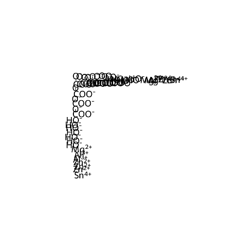 O=C([O-])[O-].O=C([O-])[O-].O=C([O-])[O-].O=C([O-])[O-].O=C([O-])[O-].O=C([O-])[O-].O=C([O-])[O-].O=C([O-])[O-].O=C([O-])[O-].O=C([O-])[O-].O=C([O-])[O-].O=C([O-])[O-].O=C([O-])[O-].[Al+3].[Al+3].[Al+3].[Mg+2].[Mg+2].[Mg+2].[OH-].[OH-].[OH-].[OH-].[OH-].[OH-].[OH-].[OH-].[OH-].[OH-].[OH-].[OH-].[OH-].[Sn+4].[Sn+4].[Sn+4].[Zn+2].[Zn+2].[Zn+2].[Zn+2].[Zn+2].[Zn+2]